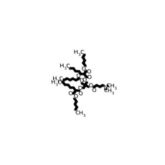 CCCCCCOC(=O)C(CCCCCC)C(=O)OCC(COC(=O)CCCCCC)(COC(=O)CCCN(C)C)COC(=O)C(CCCCCC)C(=O)OCCCCCC